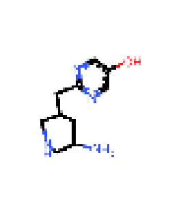 N[C@H]1CNCC(Cc2ncc(O)cn2)C1